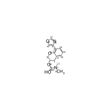 CN(C[C@@H]1CCOc2c(-c3cocn3)cccc21)C(=O)O